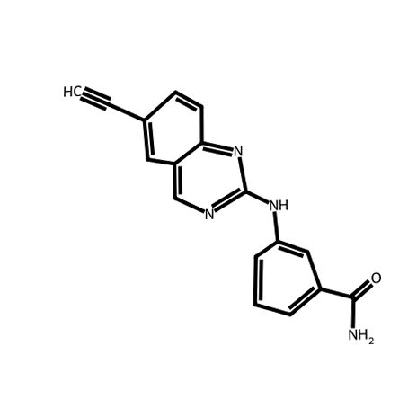 C#Cc1ccc2nc(Nc3cccc(C(N)=O)c3)ncc2c1